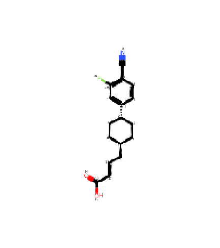 N#Cc1ccc([C@H]2CC[C@H](C/C=C/C(=O)O)CC2)cc1F